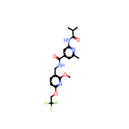 COc1nc(OCC(F)(F)F)ccc1CNC(=O)c1cc(C)nc(NC(=O)C(C)C)c1